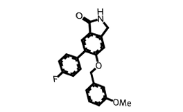 COc1cccc(COc2cc3c(cc2-c2ccc(F)cc2)C(=O)NC3)c1